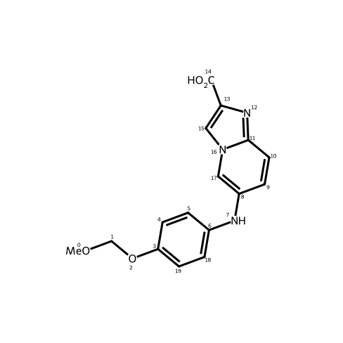 COCOc1ccc(Nc2ccc3nc(C(=O)O)cn3c2)cc1